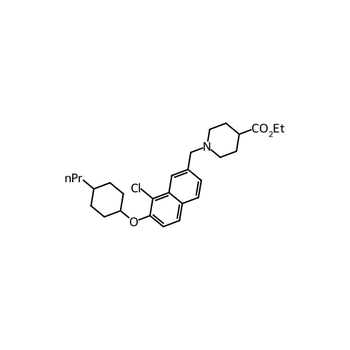 CCCC1CCC(Oc2ccc3ccc(CN4CCC(C(=O)OCC)CC4)cc3c2Cl)CC1